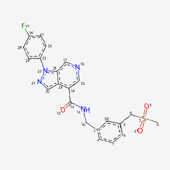 CS(=O)(=O)Cc1cccc(CNC(=O)c2cncc3c2cnn3-c2ccc(F)cc2)c1